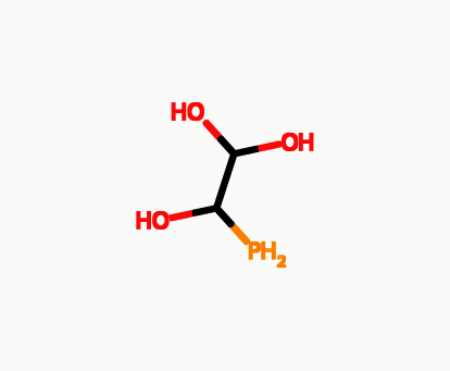 OC(O)C(O)P